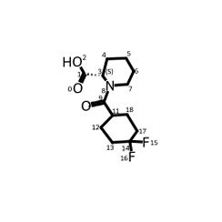 O=C(O)[C@@H]1CCCCN1C(=O)C1CCC(F)(F)CC1